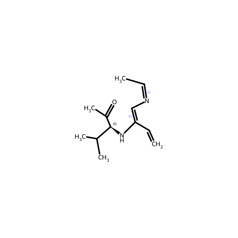 C=C/C(=C\N=C/C)N[C@H](C(C)=O)C(C)C